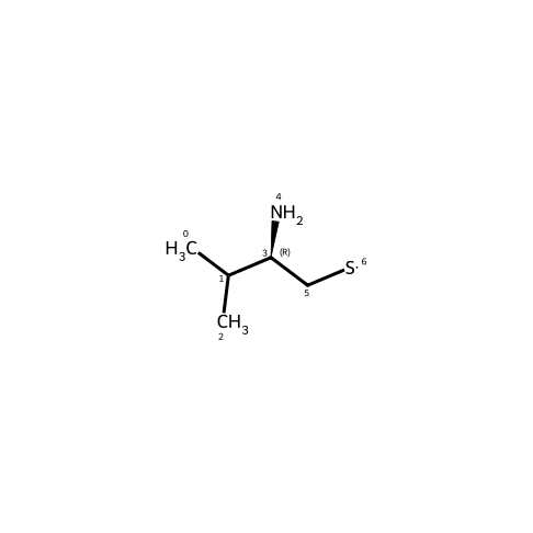 CC(C)[C@@H](N)C[S]